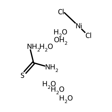 NC(N)=S.O.O.O.O.O.O.[Cl][Ni][Cl]